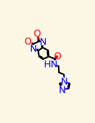 O=C1N=c2ccc(C(=O)NCCCn3ccnc3)cc2=NC1=O